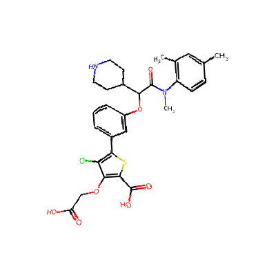 Cc1ccc(N(C)C(=O)C(Oc2cccc(-c3sc(C(=O)O)c(OCC(=O)O)c3Cl)c2)C2CCNCC2)c(C)c1